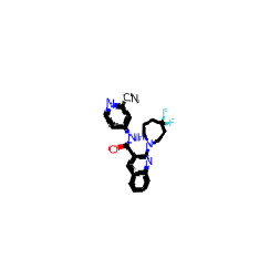 N#Cc1cc(NC(=O)c2cc3ccccc3nc2N2CCCC(F)(F)CC2)ccn1